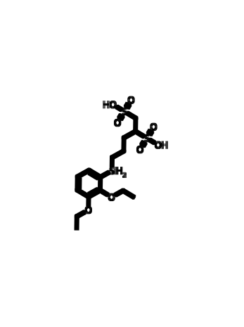 CCOc1cccc([SiH2]CCCC(CS(=O)(=O)O)S(=O)(=O)O)c1OCC